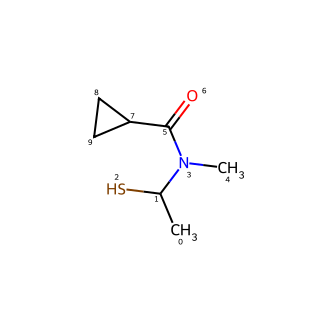 CC(S)N(C)C(=O)C1CC1